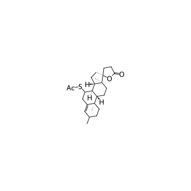 CC(=O)SC1CC2=CC(C)CC[C@]2(C)[C@H]2CC[C@@]3(C)[C@@H](CC[C@@]34CCC(=O)O4)[C@H]12